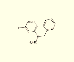 O=[C]N(Cc1ccccc1)c1cccc(I)c1